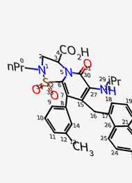 CCCN1CC(C(=O)O)n2c(c(-c3cccc(C)c3)c(Cc3cccc4ccccc34)c(NC(C)C)c2=O)S1(=O)=O